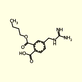 CCCCOC(=O)c1cc(CNC(=N)N)ccc1C(=O)O